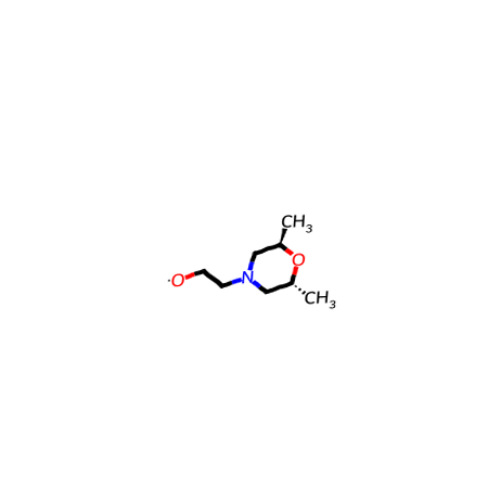 C[C@@H]1CN(CC[O])C[C@@H](C)O1